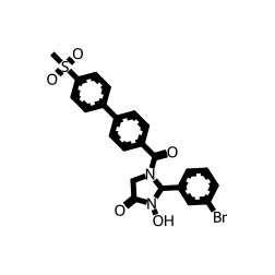 CS(=O)(=O)c1ccc(-c2ccc(C(=O)N3CC(=O)N(O)C3c3cccc(Br)c3)cc2)cc1